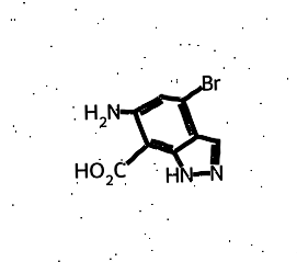 Nc1cc(Br)c2cn[nH]c2c1C(=O)O